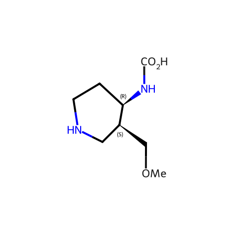 COC[C@H]1CNCC[C@H]1NC(=O)O